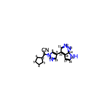 N#CC(C1CCCC1)n1cc(-c2cnnc3[nH]ccc23)cn1